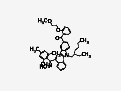 CCCCC(CC)Cn1c2ccc(C(=O)c3ccccc3OCCOC)cc2c2cc(C(=NO)c3c(C)cc(C)cc3C)c3ccccc3c21